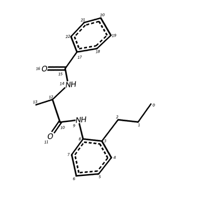 CCCc1ccccc1NC(=O)C(C)NC(=O)c1ccccc1